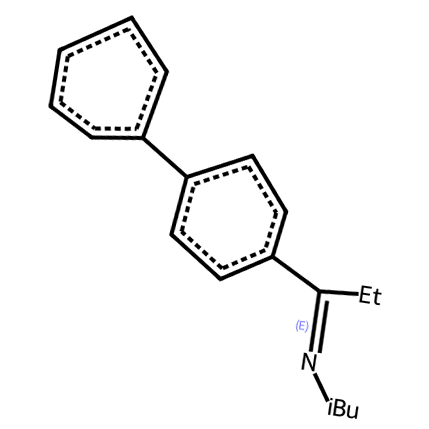 CC/C(=N\C(C)CC)c1ccc(-c2ccccc2)cc1